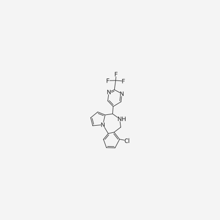 FC(F)(F)c1ncc(C2NCc3c(Cl)cccc3-n3cccc32)cn1